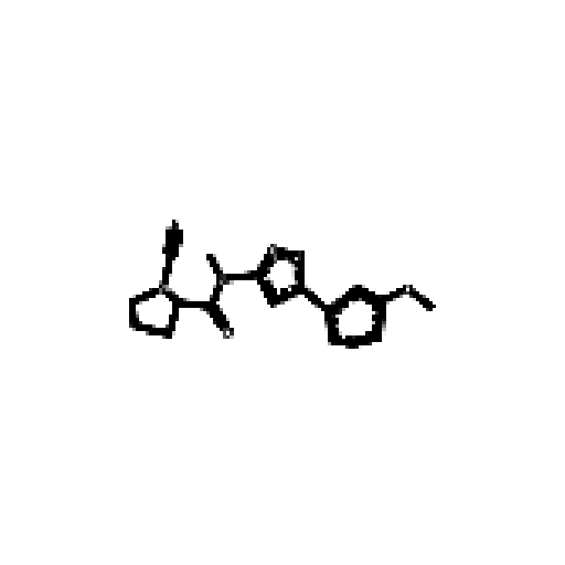 COc1cccc(-c2cc(N(C)C(=O)C3CCCN3C#N)on2)c1